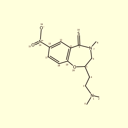 CN(C)CCC1CN(C)C(=S)c2cc([N+](=O)[O-])ccc2O1